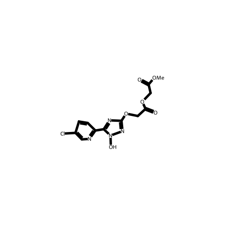 COC(=O)COC(=O)COc1nc(-c2ccc(Cl)cn2)n(O)n1